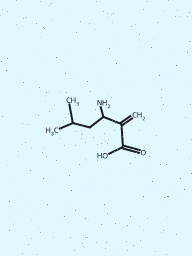 C=C(C(=O)O)C(N)CC(C)C